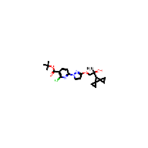 BC(O)(COc1ccn(-c2ccc(C(=O)OC(C)(C)C)c(Cl)n2)n1)C1C2(CC2)C12CC2